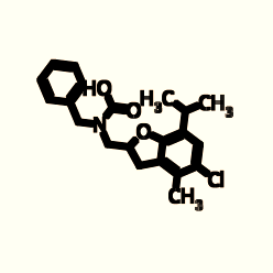 Cc1c(Cl)cc(C(C)C)c2c1CC(CN(Cc1ccccc1)C(=O)O)O2